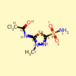 Cn1nc(S(N)(=O)=O)sc1=NC(=O)C(Cl)(Cl)Cl